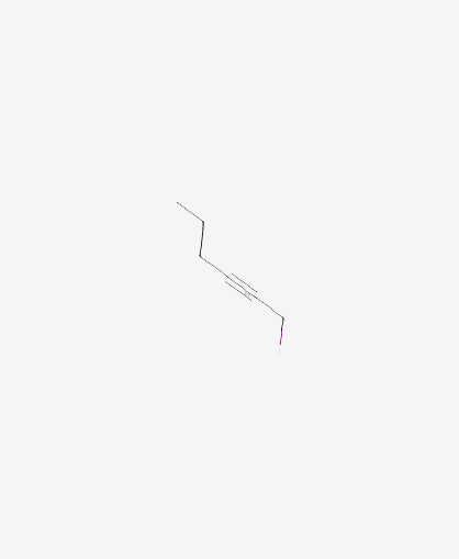 CCCC#CCI